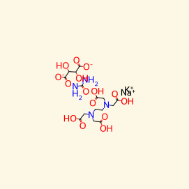 NC(N)=O.O=C(O)CN(CCN(CC(=O)O)CC(=O)O)CC(=O)O.O=C([O-])C(O)C(O)C(=O)[O-].[K+].[Na+]